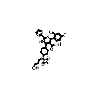 CS(=O)(=O)N(CCCO)C1CCC(C2=C(C(=O)O)C(c3ccc(F)cc3Cl)N=C(c3nccs3)N2)CC1